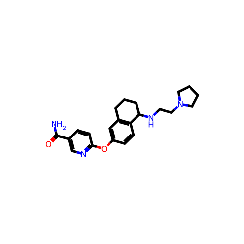 NC(=O)c1ccc(Oc2ccc3c(c2)CCCC3NCCN2CCCC2)nc1